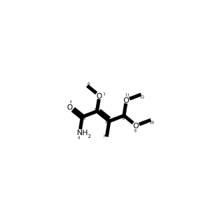 COC(C(N)=O)=C(C)C(OC)OC